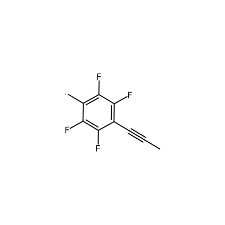 [CH2]c1c(F)c(F)c(C#CC)c(F)c1F